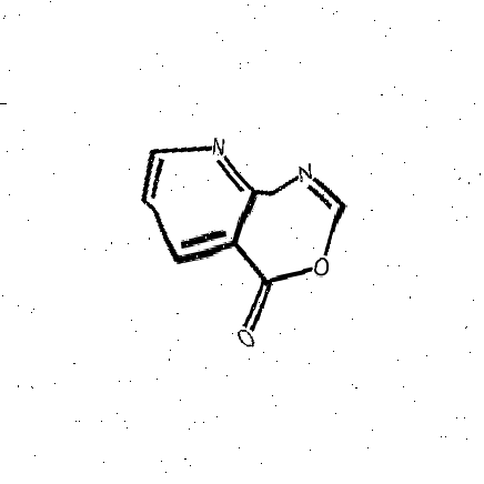 O=c1ocnc2ncccc12